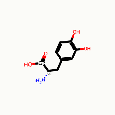 N[C@@H](Cc1ccc(O)c(O)c1)[Ge](=[O])[OH]